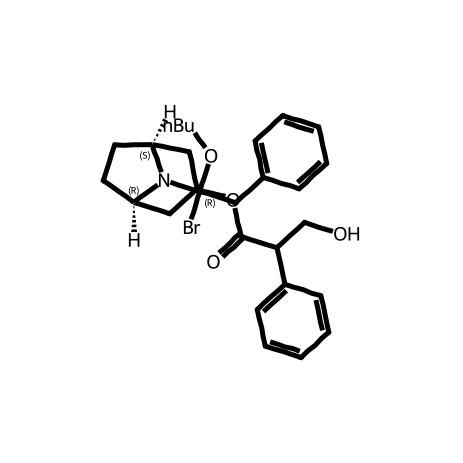 CCCCOC(Br)(Cc1ccccc1)N1[C@@H]2CC[C@H]1C[C@@H](OC(=O)C(CO)c1ccccc1)C2